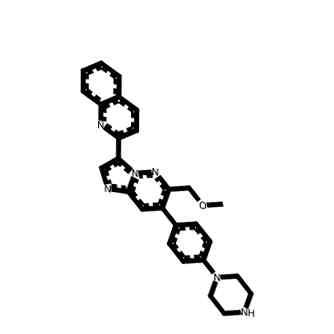 COCc1nn2c(-c3ccc4ccccc4n3)cnc2cc1-c1ccc(N2CCNCC2)cc1